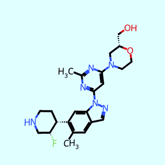 Cc1nc(N2CCO[C@@H](CO)C2)cc(-n2ncc3cc(C)c([C@H]4CCNC[C@H]4F)cc32)n1